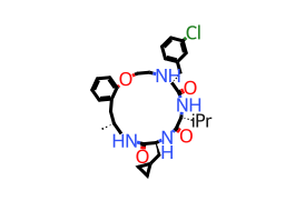 CC(C)[C@H]1NC(=O)[C@@H](Cc2cccc(Cl)c2)NCCOc2ccccc2C[C@@H](C)CNC(=O)[C@H](CC2CC2)NC1=O